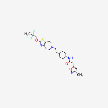 Cc1cc(CC(=O)NC2CCC(CCN3CCc4nc(OCC(C)(F)F)sc4CC3)CC2)on1